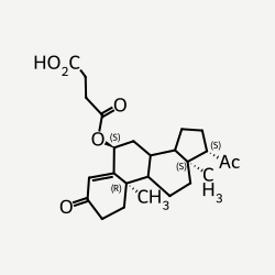 CC(=O)[C@H]1CCC2C3C[C@H](OC(=O)CCC(=O)O)C4=CC(=O)CC[C@]4(C)C3CC[C@@]21C